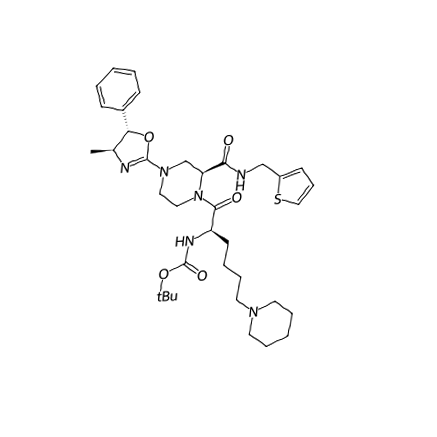 C[C@@H]1N=C(N2CCN(C(=O)[C@@H](CCCCN3CCCCC3)NC(=O)OC(C)(C)C)[C@H](C(=O)NCc3cccs3)C2)O[C@H]1c1ccccc1